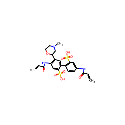 C=CC(=O)Nc1ccc(-c2cc(C3CN(C)CCO3)c(NC(=O)C=C)cc2S(=O)(=O)O)c(S(=O)(=O)O)c1